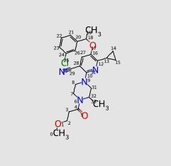 COCCC(=O)N1CCN(c2nc(C3CC3)c(OC(C)c3cccc(Cl)c3)cc2C#N)CC1C